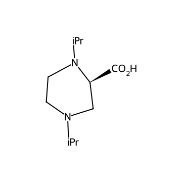 CC(C)N1CCN(C(C)C)[C@@H](C(=O)O)C1